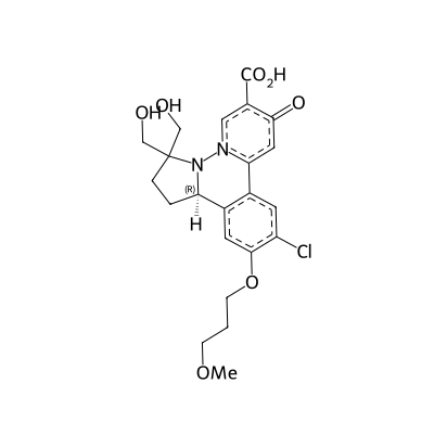 COCCCOc1cc2c(cc1Cl)-c1cc(=O)c(C(=O)O)cn1N1[C@@H]2CCC1(CO)CO